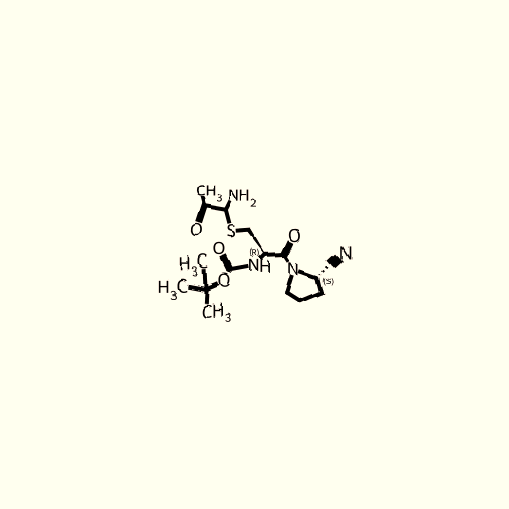 CC(=O)C(N)SC[C@H](NC(=O)OC(C)(C)C)C(=O)N1CCC[C@H]1C#N